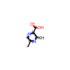 Cc1cnc(C(=O)O)cn1.[KH]